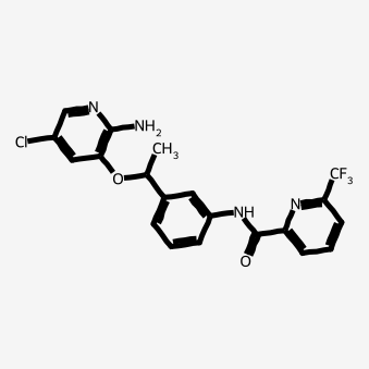 CC(Oc1cc(Cl)cnc1N)c1cccc(NC(=O)c2cccc(C(F)(F)F)n2)c1